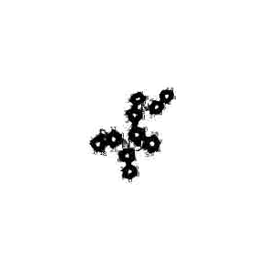 c1ccc(-c2ccc(N(c3ccc4sc5ccccc5c4c3)c3cc(-c4ccc5c6ccccc6n(-c6cccc(-c7ccccc7)c6)c5c4)cc4c3sc3ccccc34)cc2)cc1